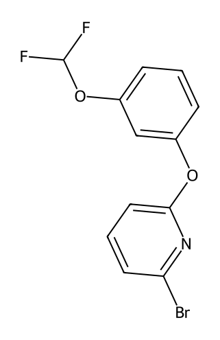 FC(F)Oc1cccc(Oc2cccc(Br)n2)c1